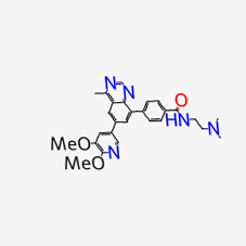 COc1cc(-c2cc(-c3ccc(C(=O)NCCN(C)C)cc3)c3ncnc(C)c3c2)cnc1OC